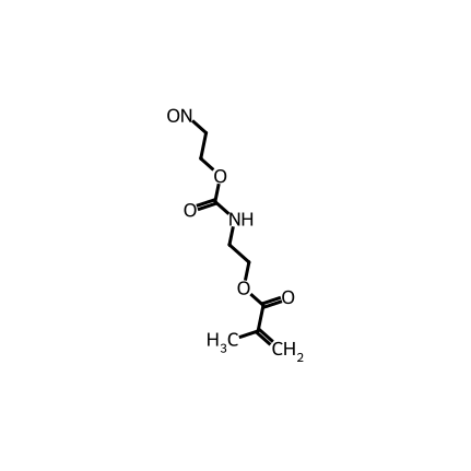 C=C(C)C(=O)OCCNC(=O)OCCN=O